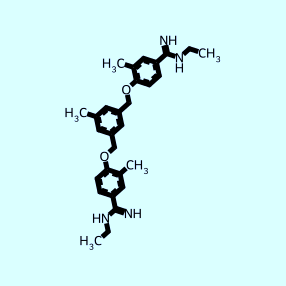 CCNC(=N)c1ccc(OCc2cc(C)cc(COc3ccc(C(=N)NCC)cc3C)c2)c(C)c1